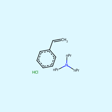 C=Cc1ccccc1.CCCN(CCC)CCC.Cl